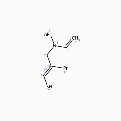 C=CN(CCC)C/C(=C/S)C(C)C